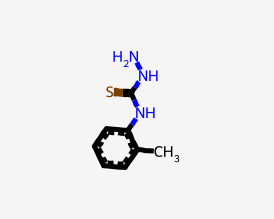 Cc1ccccc1NC(=S)NN